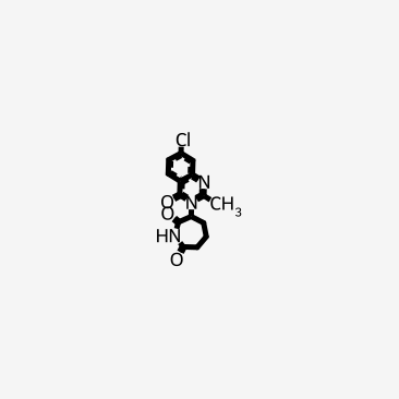 Cc1nc2cc(Cl)ccc2c(=O)n1C1CCCC(=O)NC1=O